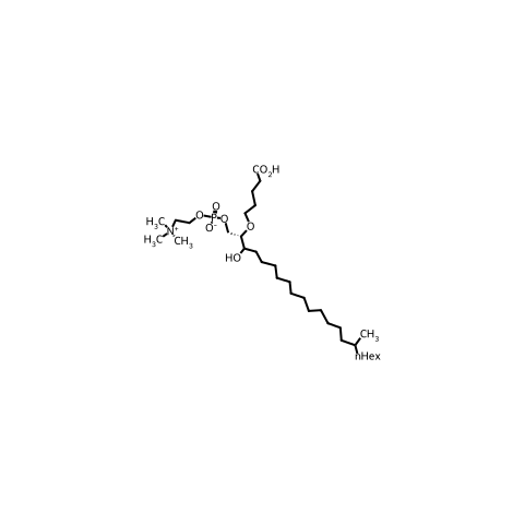 CCCCCCC(C)CCCCCCCCCCCCC(O)[C@H](COP(=O)([O-])OCC[N+](C)(C)C)OCCCCC(=O)O